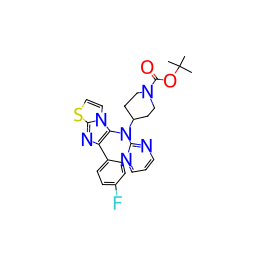 CC(C)(C)OC(=O)N1CCC(N(c2ncccn2)c2c(-c3ccc(F)cc3)nc3sccn23)CC1